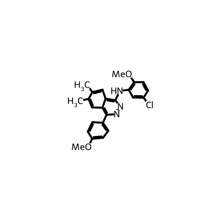 COc1ccc(-c2nnc(Nc3cc(Cl)ccc3OC)c3cc(C)c(C)cc23)cc1